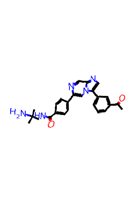 CC(=O)c1cccc(-c2cnc3cnc(-c4ccc(C(=O)NCC(C)(C)N)cc4)cn23)c1